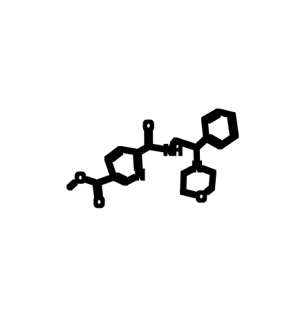 COC(=O)c1ccc(C(=O)NCC(c2ccccc2)N2CCOCC2)nc1